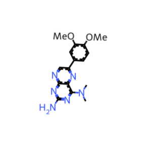 COc1ccc(-c2cnc3nc(N)nc(N(C)C)c3n2)cc1OC